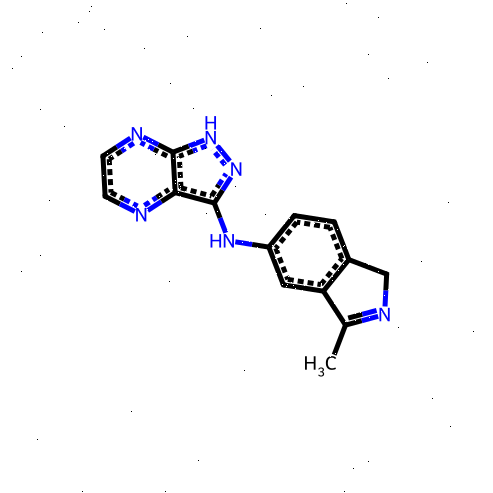 CC1=NCc2ccc(Nc3n[nH]c4nccnc34)cc21